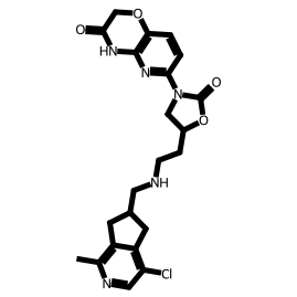 Cc1ncc(Cl)c2c1CC(CNCCC1CN(c3ccc4c(n3)NC(=O)CO4)C(=O)O1)C2